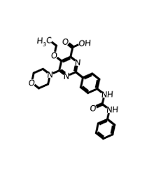 CCOc1c(C(=O)O)nc(-c2ccc(NC(=O)Nc3ccccc3)cc2)nc1N1CCOCC1